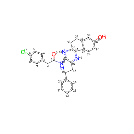 O=C(Cc1ccc(Cl)cc1)Nc1nc2c(nc1CCc1ccccc1)-c1ccc(O)cc1CC2